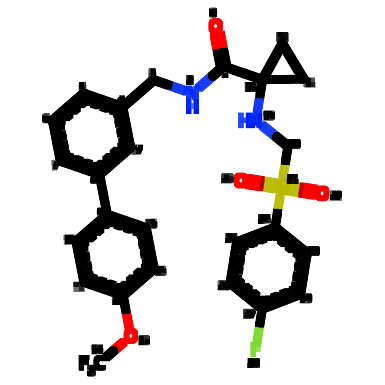 O=C(NCc1cccc(-c2ccc(OC(F)(F)F)cc2)c1)C1(NCS(=O)(=O)c2ccc(F)cc2)CC1